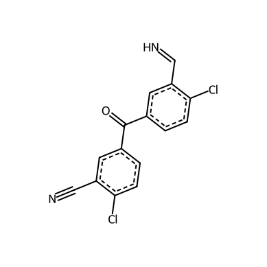 N#Cc1cc(C(=O)c2ccc(Cl)c(C=N)c2)ccc1Cl